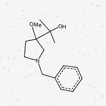 COC1(C(C)(C)O)CCN(Cc2ccccc2)C1